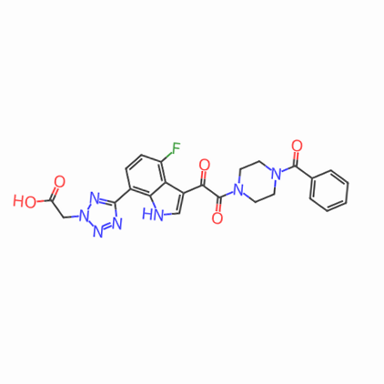 O=C(O)Cn1nnc(-c2ccc(F)c3c(C(=O)C(=O)N4CCN(C(=O)c5ccccc5)CC4)c[nH]c23)n1